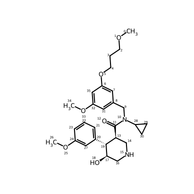 COCCCOc1cc(CN(C(=O)[C@H]2CNC[C@@H](O)[C@@H]2c2cccc(OC)c2)C2CC2)cc(OC)c1